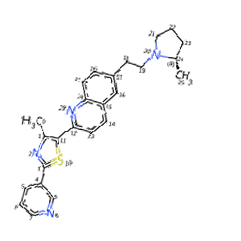 Cc1nc(-c2cccnc2)sc1-c1ccc2cc(CCN3CCC[C@H]3C)ccc2n1